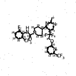 Cc1ncc(C(F)(F)COc2cccc(C(F)(F)F)n2)c(C2CCN(C(=O)Nc3c(F)cccc3C(F)(F)F)CC2)n1